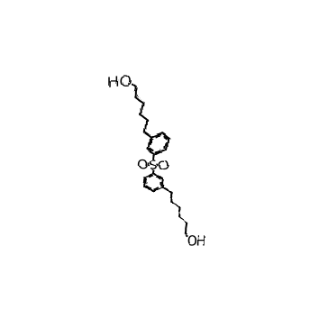 O=S(=O)(c1cccc(CCCCCCO)c1)c1cccc(CCCCCCO)c1